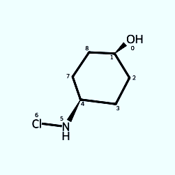 O[C@H]1CC[C@@H](NCl)CC1